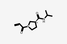 C=CC(=O)N1CC[C@H](C(=O)NC(C)C)C1